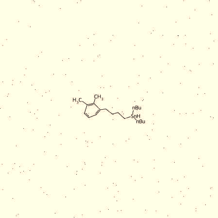 CCC[CH2][SnH]([CH2]CCC)[CH2]CCCc1cccc(C)c1C